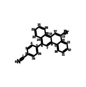 N#Cc1ccc(-c2cc3c4ccccc4c(Br)cc3c3ccccc23)cc1